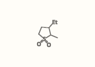 CCC1CCS(=O)(=O)C1C